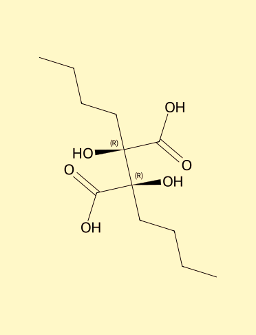 CCCC[C@](O)(C(=O)O)[C@](O)(CCCC)C(=O)O